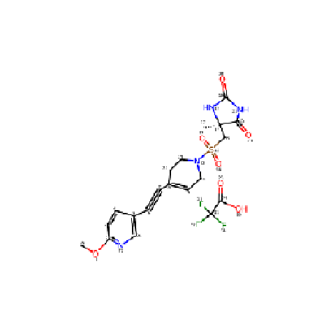 COc1ccc(C#CC2=CCN(S(=O)(=O)C[C@@]3(C)NC(=O)NC3=O)CC2)cn1.O=C(O)C(F)(F)F